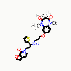 CCN1C(=O)C(C)(C)C(=O)N(C)c2cc(OCCCNC(CCn3ccc4ccoc4c3=O)c3cccs3)ccc21